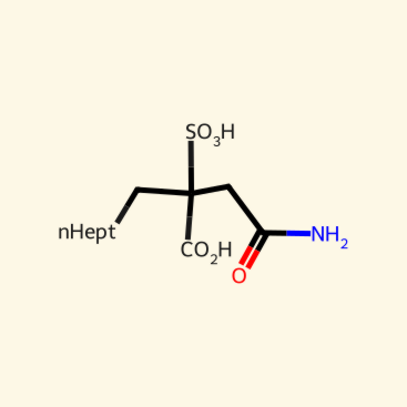 CCCCCCCCC(CC(N)=O)(C(=O)O)S(=O)(=O)O